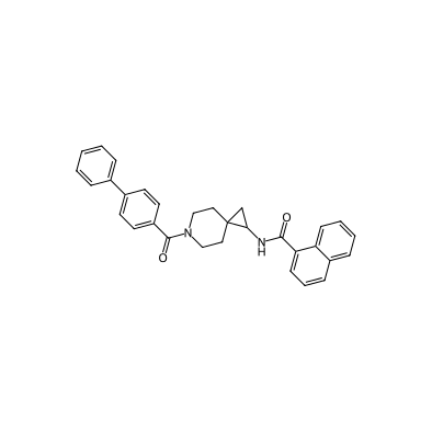 O=C(NC1CC12CCN(C(=O)c1ccc(-c3ccccc3)cc1)CC2)c1cccc2ccccc12